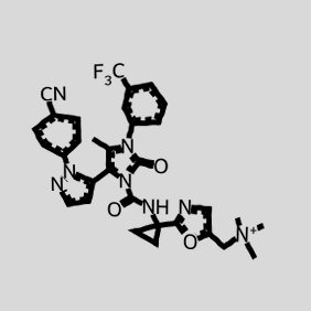 Cc1c(-c2ccnn2-c2ccc(C#N)cc2)n(C(=O)NC2(c3ncc(C[N+](C)(C)C)o3)CC2)c(=O)n1-c1cccc(C(F)(F)F)c1